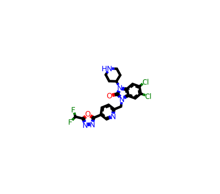 O=c1n(Cc2ccc(-c3nnc(C(F)F)o3)cn2)c2cc(Cl)c(Cl)cc2n1C1CCNCC1